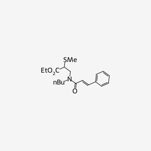 CCCCN(CC(SC)C(=O)OCC)C(=O)C=Cc1ccccc1